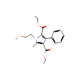 CCOC(=O)c1c(-c2ccccc2)c(C(=O)OCC)n(CCOC)c1C